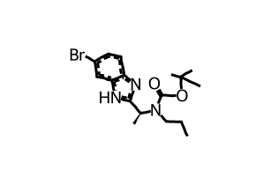 CCCN(C(=O)OC(C)(C)C)[C@@H](C)c1nc2ccc(Br)cc2[nH]1